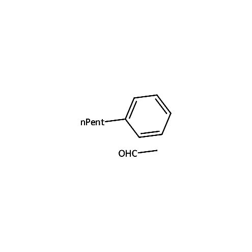 CC=O.CCCCCc1ccccc1